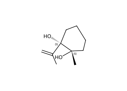 C=C(C)[C@@]1(O)CCCC[C@]1(C)O